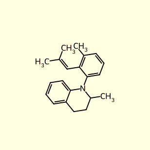 CC(C)=Cc1c(C)cccc1N1c2ccccc2CCC1C